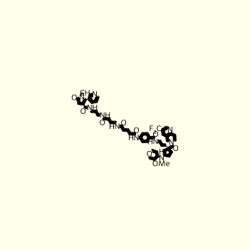 CO[C@@H]1COCC[C@@H]1N[C@@H]1CC[C@](CCCNC(=O)C2CCC(NC(=O)CCCC(=O)NCCCC(=O)NCCCNC(=O)[C@H]3CC(=O)N(C)[C@@H]3c3cccnc3)CC2)(C(=O)N2CCc3ncc(C(F)(F)F)cc3C2)C1